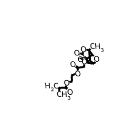 C=C(C)C(=O)OCCOC(=O)COC1C2CC3C(O2)C1(C)OS3(=O)=O